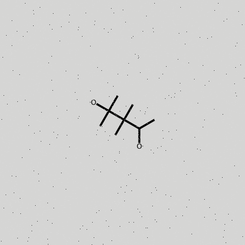 CC([O])C(C)(C)C(C)(C)[O]